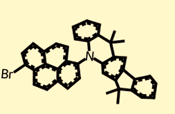 CC1(C)c2ccccc2-c2cc3c(cc21)N(c1ccc2ccc4c(Br)ccc5ccc1c2c54)c1ccccc1C3(C)C